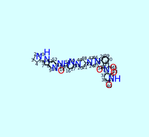 CN1CCC[C@@H]1c1cc2cnc(NC(=O)c3ccc(N4CCC(N5CCN(c6cccc7c6C(=O)N(C6CCC(=O)NC6=O)C7=O)CC5)CC4)nc3)cc2[nH]1